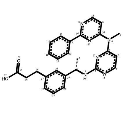 C[C@H](Nc1nccc(N(C)c2ccnc(-c3ccccc3)n2)n1)c1cccc(CCC(=O)O)c1